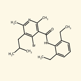 CCc1cccc(CC)c1NC(=O)c1c(C)nc(C)c(CC(C)C)c1Br